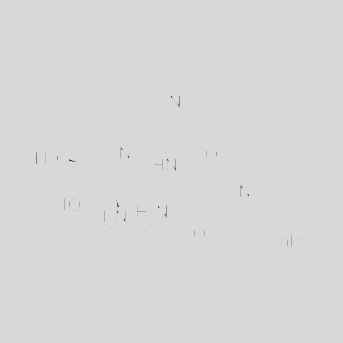 CCCc1cnc2c(C(=O)Nc3cnccc3N3C[C@@H](N)[C@H](O)[C@@H](C)C3)c(N)oc2c1